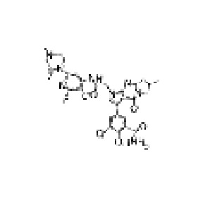 CC1Cc2nc3c(c(-c4cc(Cl)c(O)c(C(N)=O)c4)cn3CC(=O)Nc3cc(N4CCN(C)C[C@@H]4C)nc(F)c3Cl)c(=O)n2C1